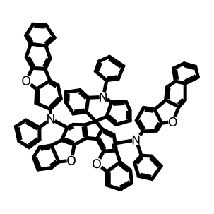 c1ccc(N2c3ccccc3C3(c4ccccc42)c2cc(N(c4ccccc4)c4ccc5c(c4)oc4cc6ccccc6cc45)c4c(oc5ccccc54)c2-c2c3cc(N(c3ccccc3)c3ccc4c(c3)oc3cc5ccccc5cc34)c3c2oc2ccccc23)cc1